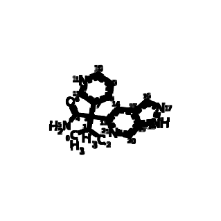 CC(C)C(C(N)=O)(c1cccnc1)c1cc2cn[nH]c2cn1